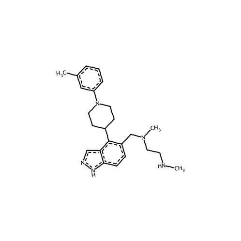 CNCCN(C)Cc1ccc2[nH]ncc2c1C1CCN(c2cccc(C)c2)CC1